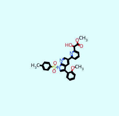 COC(=O)C(O)c1cccc(-c2cnc3c(c2)c(-c2ccccc2OC)cn3S(=O)(=O)c2ccc(C)cc2)n1